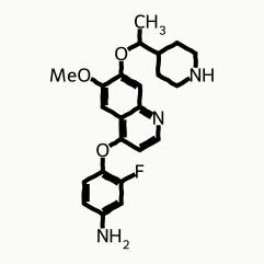 COc1cc2c(Oc3ccc(N)cc3F)ccnc2cc1OC(C)C1CCNCC1